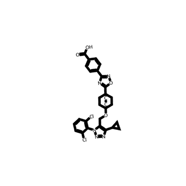 O=C(O)c1ccc(-c2noc(C34CCC(OCc5c(C6CC6)nnn5-c5c(Cl)cccc5Cl)(CC3)CC4)n2)cc1